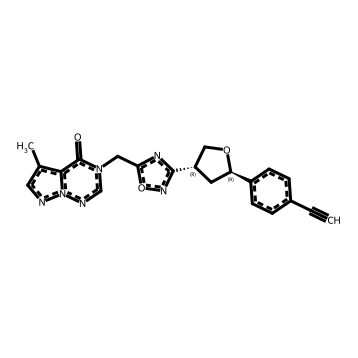 C#Cc1ccc([C@H]2C[C@H](c3noc(Cn4cnn5ncc(C)c5c4=O)n3)CO2)cc1